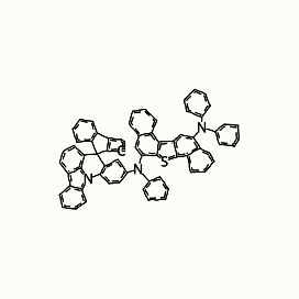 c1ccc(N(c2ccccc2)c2cc3c(sc4c(N(c5ccccc5)c5ccc6c(c5)C5(c7ccccc7-c7ccccc75)c5cccc7c8ccccc8n-6c57)cc5ccccc5c43)c3ccccc23)cc1